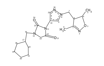 CC1=NOC(C)C1Cn1cc(N2C(=O)CN(CC3CCCCC3)C2=O)cn1